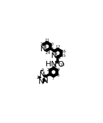 Cn1cnnc1-c1cccc(NC(=O)c2cccc(-c3cccnc3)n2)c1